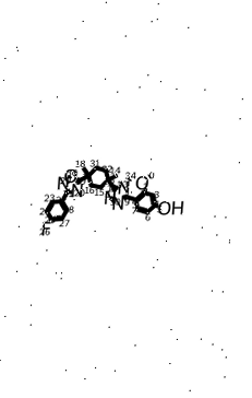 COc1cc(O)ccc1-c1nnc(C2(C)CCC(C)(c3nc(-c4ccc(F)cc4)no3)CC2)n1C